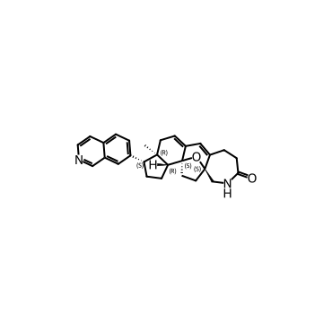 C[C@]12CC=C3C=C4CCC(=O)NC[C@]45CC[C@]3(O5)[C@@H]1CC[C@@H]2c1ccc2ccncc2c1